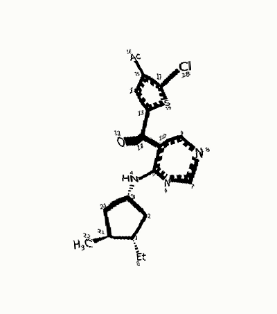 CC[C@H]1C[C@@H](Nc2ncncc2C(=O)c2cc(C(C)=O)c(Cl)s2)C[C@@H]1C